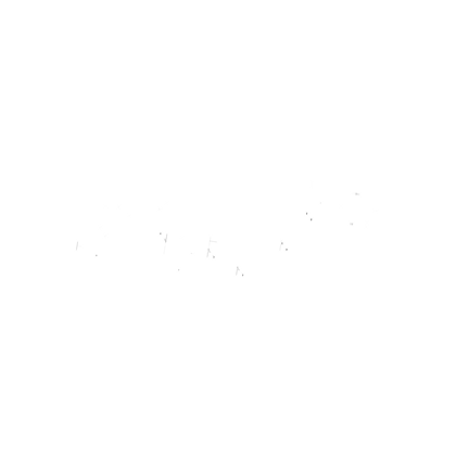 Cc1ccccc1C(=O)N1CCN(CCN2CCCC2NC(=O)CNC(=O)c2cccc(C(F)(F)F)c2)CC1